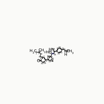 CC[C@H](C)CCn1cc(-c2cncc(/C(O)=C/C(=N)c3ccc(CNC)cc3)n2)ccc1=O